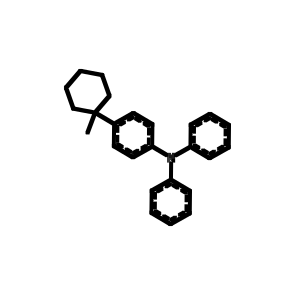 CC1(c2ccc(N(c3ccccc3)c3ccccc3)cc2)CCCCC1